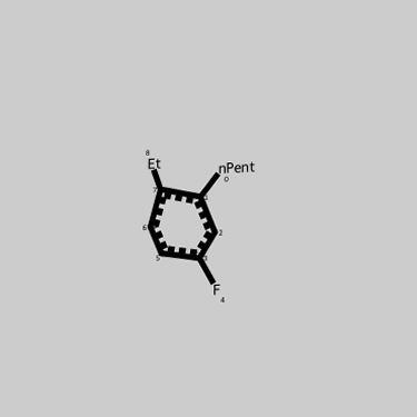 CCCCCc1cc(F)ccc1CC